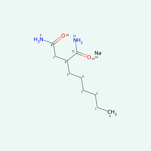 CCCCCCC(CC(N)=O)C(N)=O.[Na]